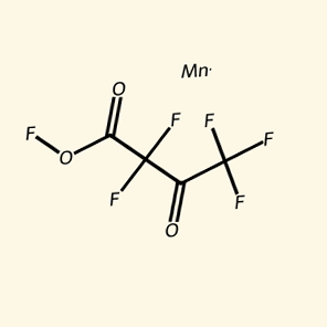 O=C(OF)C(F)(F)C(=O)C(F)(F)F.[Mn]